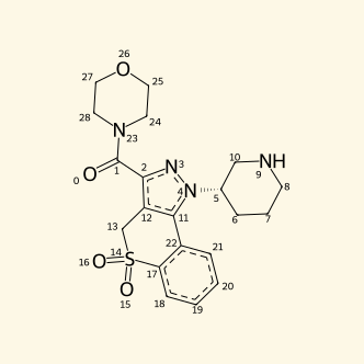 O=C(c1nn([C@H]2CCCNC2)c2c1CS(=O)(=O)c1ccccc1-2)N1CCOCC1